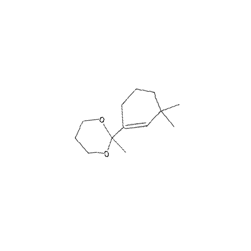 CC1(C)C=C(C2(C)OCCCO2)CCC1